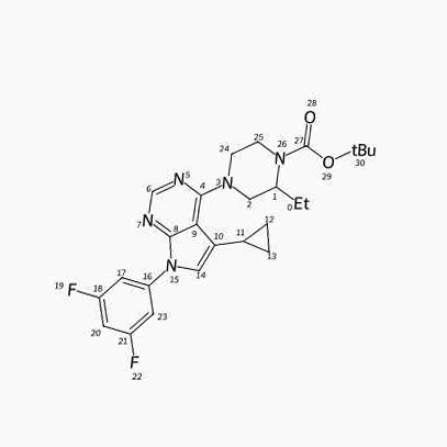 CCC1CN(c2ncnc3c2c(C2CC2)cn3-c2cc(F)cc(F)c2)CCN1C(=O)OC(C)(C)C